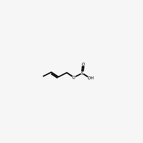 CC=CCOS(=O)O